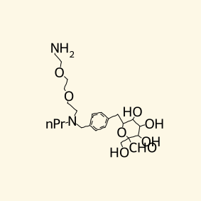 CCCN(CCOCCOCCN)Cc1ccc(CC2OC(C=O)(CO)C(O)C(O)C2O)cc1